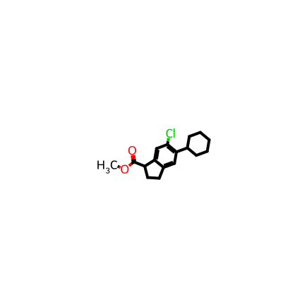 COC(=O)C1CCc2cc(C3CCCCC3)c(Cl)cc21